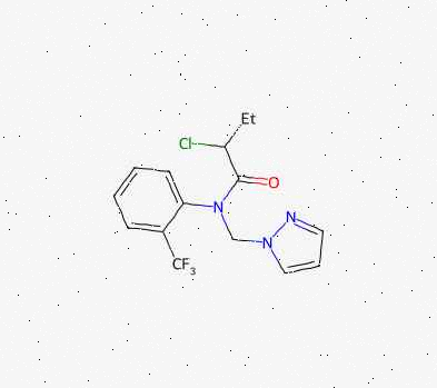 CCC(Cl)C(=O)N(Cn1cccn1)c1ccccc1C(F)(F)F